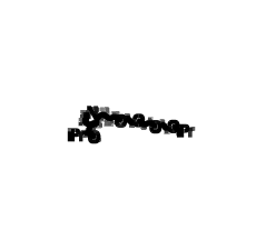 CC(C)OCCOCCOCCOCCCc1cc(C(=O)C(C)C)ccn1